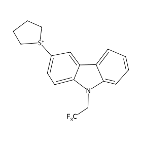 FC(F)(F)Cn1c2ccccc2c2cc([S+]3CCCC3)ccc21